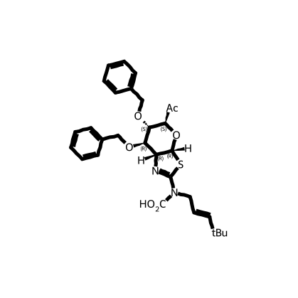 CC(=O)[C@H]1O[C@@H]2SC(N(CC=CC(C)(C)C)C(=O)O)=N[C@@H]2[C@@H](OCc2ccccc2)[C@@H]1OCc1ccccc1